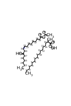 CCCCCCCCCCCCCCCCC(C)C(=O)OO.CCCCCC[C@@H](O)C/C=C\CCCCCCCC(=O)OC(C)=O